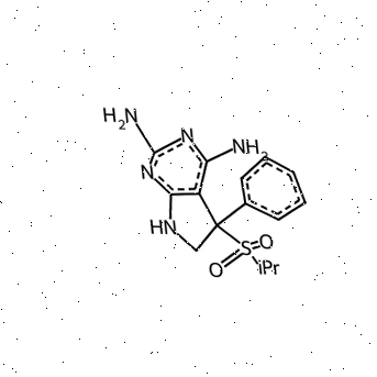 CC(C)S(=O)(=O)C1(c2ccccc2)CNc2nc(N)nc(N)c21